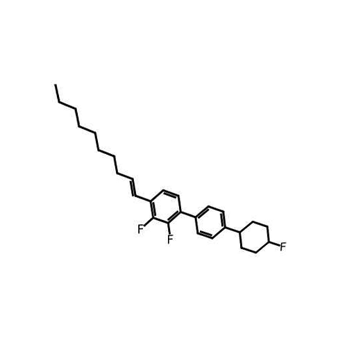 CCCCCCCCC=Cc1ccc(-c2ccc(C3CCC(F)CC3)cc2)c(F)c1F